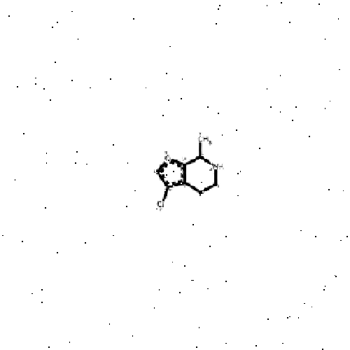 CC1NCCc2c(Cl)coc21